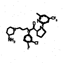 Cc1cc(C(F)(F)F)cc(N2CCC[C@H]2C(=O)N(CCCN2CCC[C@H](N)C2)c2ccc(F)c(Cl)c2)n1